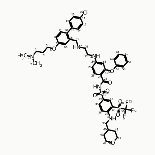 CN(C)CCCOc1ccc(-c2ccc(Cl)cc2)c(CNCCNc2ccc(C(=O)NS(=O)(=O)c3ccc(NCC4CCOCC4)c(S(=O)(=O)C(F)(F)F)c3)c(Oc3ccccc3)c2)c1